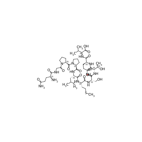 CSCC[C@H](NC(=O)[C@H](CC(C)C)NC(=O)[C@@H]1CCCN1C(=O)[C@@H]1CCCN1C(=O)CNC(=O)[C@@H](N)CCC(N)=O)C(=O)N[C@@H](CO)C(=O)N[C@H](C(=O)N[C@@H](CCC(N)=O)C(=O)N[C@H](C(=O)O)C(C)C)[C@@H](C)O